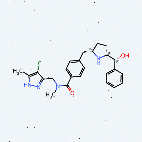 Cc1[nH]nc(CN(C)C(=O)c2ccc(C[C@@H]3CC[C@H]([C@H](O)c4ccccc4)N3)cc2)c1Cl